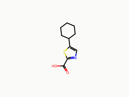 O=C(O)c1ncc(C2CCCCC2)s1